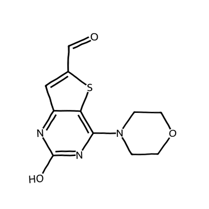 O=Cc1cc2nc(O)nc(N3CCOCC3)c2s1